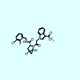 O=C(NCc1cccc(Cl)c1F)[C@@H]1C[C@H]2C[C@H]2N1C(=O)Cn1cc(C(=O)C(F)(F)F)c2ccccc21